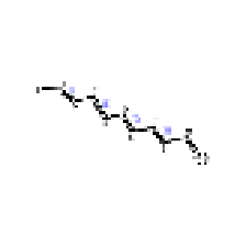 C/C=C/C=C/C=C/C=C/C=O